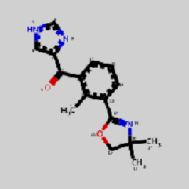 Cc1c(C(=O)c2c[nH]cn2)cccc1C1=NC(C)(C)CO1